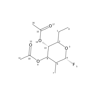 CCC1O[C@H](F)C(C)C(OC(C)=O)[C@@H]1OC(C)=O